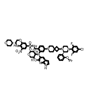 CC(C)Oc1ccccc1[C@@H]1CN(c2c(F)cc(Cl)cc2F)CCN1C1CC2(CCN(c3ccc(C(=O)NS(=O)(=O)c4cc5c(c([N+](=O)[O-])c4)N[C@H](C4CCOCC4)CO5)c(N4c5cc6cc[nH]c6nc5O[C@H]5COCC[C@@H]54)c3)CC2)C1